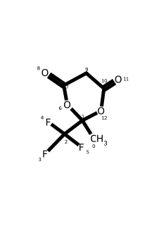 CC1(C(F)(F)F)OC(=O)CC(=O)O1